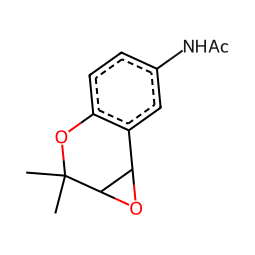 CC(=O)Nc1ccc2c(c1)C1OC1C(C)(C)O2